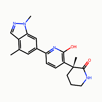 Cc1cc(-c2ccc([C@@]3(C)CCCNC3=O)c(O)n2)cc2c1cnn2C